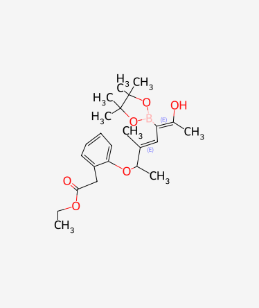 CCOC(=O)Cc1ccccc1OC(C)/C(=C/C(B1OC(C)(C)C(C)(C)O1)=C(\C)O)CC